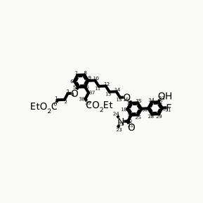 CCOC(=O)CCCOc1cccc(CCCCCCOc2cc(C(=O)N(C)C)cc(-c3ccc(F)c(O)c3)c2)c1CCC(=O)OCC